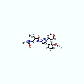 CCCC(=O)NCC(C)C(=O)Nc1cc(-c2cccc(OC(F)(F)F)c2)n(C2CCOCC2)n1